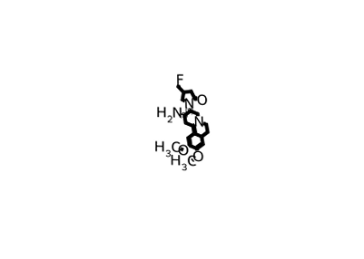 COC1=CC2=C3C[C@H](N)[C@@H](N4CC(CF)CC4=O)CN3CCC2C=C1OC